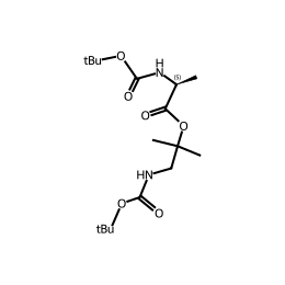 C[C@H](NC(=O)OC(C)(C)C)C(=O)OC(C)(C)CNC(=O)OC(C)(C)C